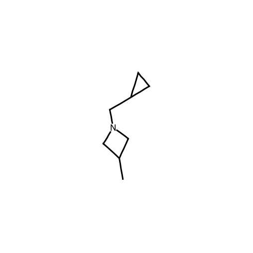 CC1CN(CC2CC2)C1